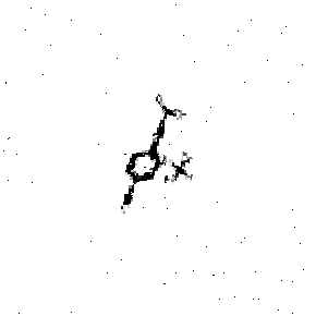 BrC(Br)(Br)Br.N#Cc1ccc(C#CC(=O)O)cc1